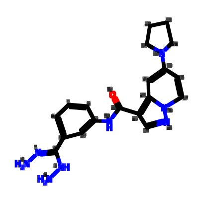 N/N=C(\NN)c1cccc(NC(=O)c2cnn3ccc(N4CCCC4)cc23)c1